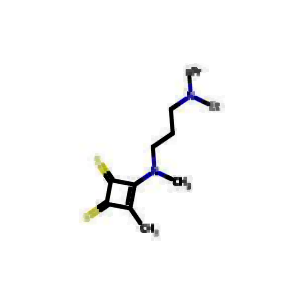 CCCN(CC)CCCN(C)c1c(C)c(=S)c1=S